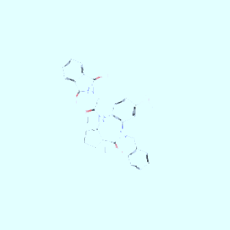 COc1ccc2c(c1)N(Cc1ccccc1)C(=O)[C@H]1CCC[C@H]1N2C(=O)CN1C(=O)c2ccccc2C1=O